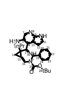 CCCC1(C(=N)c2c(N)cnc3[nH]ccc23)C/C1=C/N(Cc1ccccc1)C(=O)OC(C)(C)C